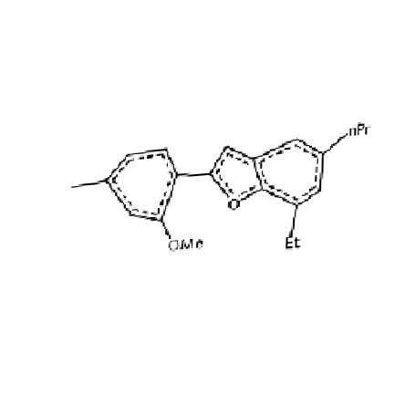 CCCc1cc(CC)c2oc(-c3ccc(C)cc3OC)cc2c1